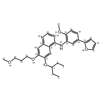 CCC(CC)Oc1cc2c(Nc3cc(-c4ccco4)ccc3OC)ncnc2cc1OCCCOC